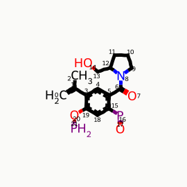 C=C(C)c1cc(C(=O)N2CCCC2CO)c(P=O)cc1OP